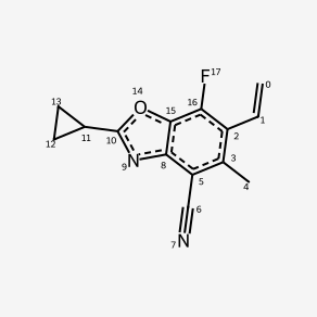 C=Cc1c(C)c(C#N)c2nc(C3CC3)oc2c1F